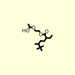 CCC(CCC(C)C(C)(C)C)C(=O)OCCOC(C)O